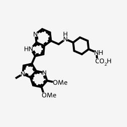 COc1cc2c(nc1OC)c(-c1cc3c(CNC4CCC(NC(=O)O)CC4)ccnc3[nH]1)cn2C